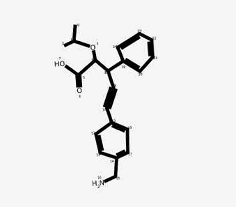 CC(C)OC(C(=O)O)C(C#Cc1ccc(CN)cc1)c1ccccc1